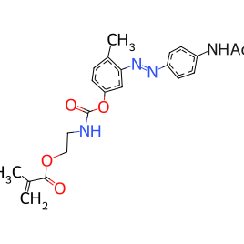 C=C(C)C(=O)OCCNC(=O)Oc1ccc(C)c(N=Nc2ccc(NC(C)=O)cc2)c1